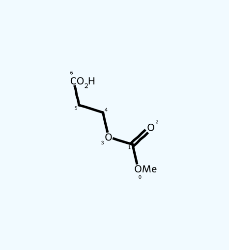 COC(=O)OCCC(=O)O